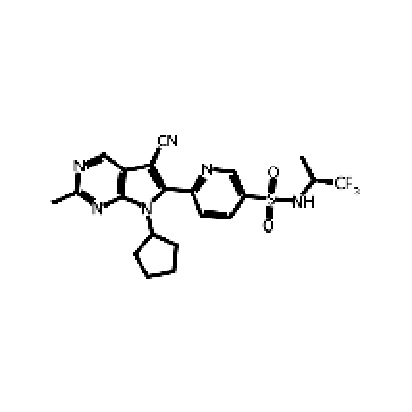 Cc1ncc2c(C#N)c(-c3ccc(S(=O)(=O)N[C@@H](C)C(F)(F)F)cn3)n(C3CCCC3)c2n1